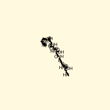 CNCCCCC(NC(=O)COCCOCCNC(=O)CCC(NC(=O)CCC(NC(=O)CCCS(=O)(=O)NC(=O)CC(C)(C)CC(C)(C)Cc1nnn[nH]1)C(=O)O)C(=O)O)C(=O)O